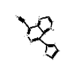 N#Cc1nnc(-c2cccs2)c2nccnc12